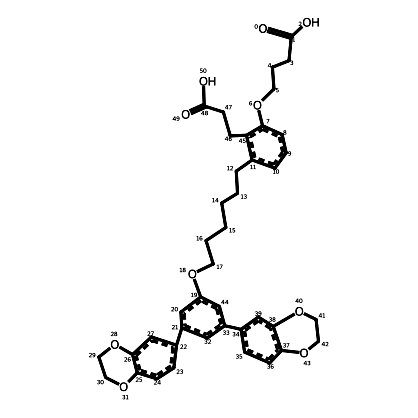 O=C(O)CCCOc1cccc(CCCCCCOc2cc(-c3ccc4c(c3)OCCO4)cc(-c3ccc4c(c3)OCCO4)c2)c1CCC(=O)O